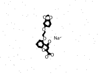 O=C([O-])c1cc(=O)c2c(OCCOc3ccc4c(c3)OCO4)cccc2o1.[Na+]